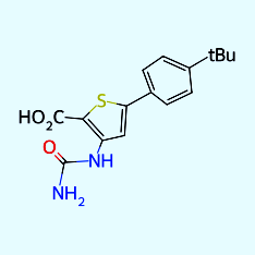 CC(C)(C)c1ccc(-c2cc(NC(N)=O)c(C(=O)O)s2)cc1